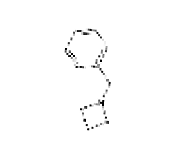 [CH](c1ccccc1)N1CCC1